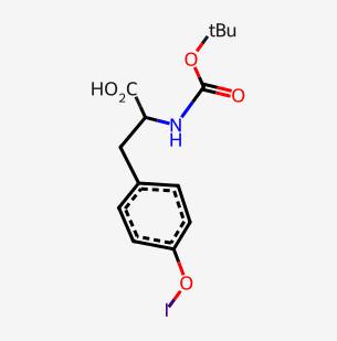 CC(C)(C)OC(=O)NC(Cc1ccc(OI)cc1)C(=O)O